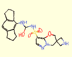 O=S(=O)(NC(O)Nc1c2c(cc3c1CCC3)CCC2)c1cnn2c1OCC1(CNC1)C2